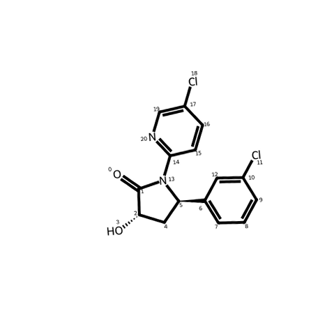 O=C1[C@@H](O)C[C@H](c2cccc(Cl)c2)N1c1ccc(Cl)cn1